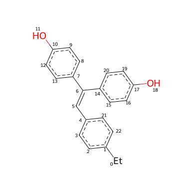 CCc1ccc(C=C(c2ccc(O)cc2)c2ccc(O)cc2)cc1